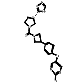 O=C(N1CC(c2ccc(Oc3cnc(C(F)(F)F)nc3)cc2)C1)N1CC[C@H](c2nnc[nH]2)C1